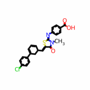 CN1C(=O)/C(=C/C2C=CC=C(c3ccc(Cl)cc3)C2)S/C1=N/c1ccc(C(=O)O)cc1